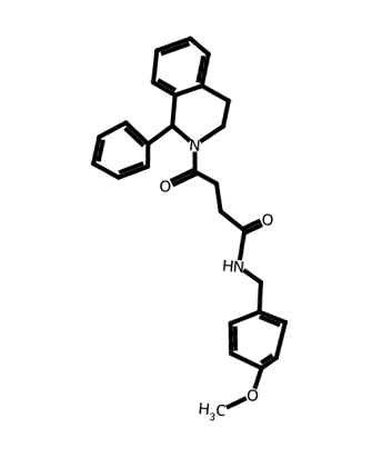 COc1ccc(CNC(=O)CCC(=O)N2CCc3ccccc3C2c2ccccc2)cc1